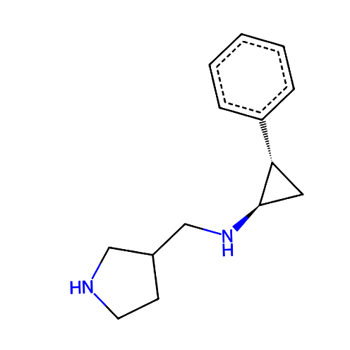 c1ccc([C@@H]2C[C@H]2NCC2CCNC2)cc1